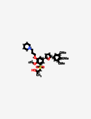 CCCOc1c(OCCCN2CCCCC2)cc([C@@H]2CC[C@@H](c3cc(OC)c(OC)c(OC)c3)O2)cc1S(=O)(=O)CC(C)O